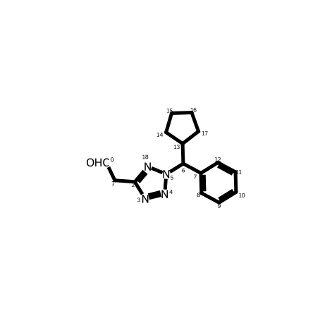 O=CCc1nnn(C(c2ccccc2)C2CCCC2)n1